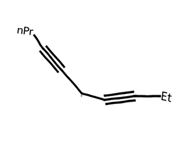 CCC#C[CH]C#CCCC